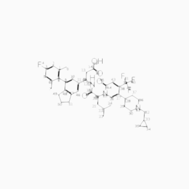 Cc1cc(F)cc(C)c1-c1cc([C@@H](CC(=O)O)NC(=O)[C@H](CC(C)C)n2cc(C3CCN(CC4CC4)CC3)c(C(F)(F)F)cc2=O)cc2c1CCC2